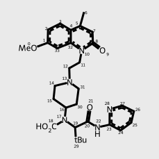 COc1ccc2c(C)cc(=O)n(CCN3CCC(N(C(=O)O)C(C(=O)Nc4ccccn4)C(C)(C)C)CC3)c2c1